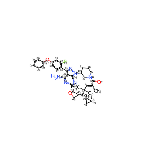 CC(C)(C=C(C#N)C(=O)N1CCCC(n2nc(-c3ccc(Oc4ccccc4)cc3F)c3c(N)ncnc32)C1)[As](C1CC1)C1COC1